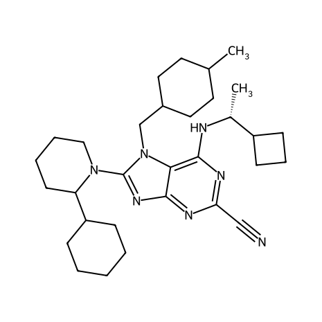 CC1CCC(Cn2c(N3CCCCC3C3CCCCC3)nc3nc(C#N)nc(N[C@H](C)C4CCC4)c32)CC1